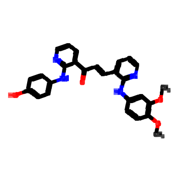 COc1ccc(Nc2ncccc2C=CC(=O)c2cccnc2Nc2ccc(O)cc2)cc1OC